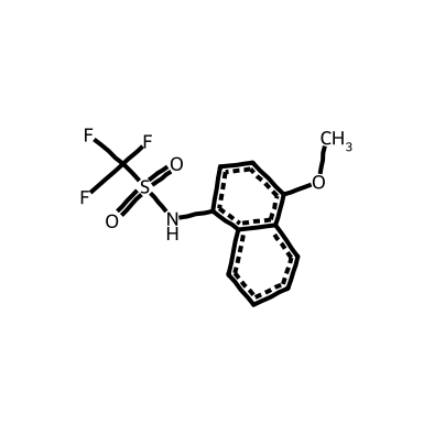 COc1ccc(NS(=O)(=O)C(F)(F)F)c2ccccc12